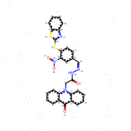 O=C(Cn1c2ccccc2c(=O)c2ccccc21)N/N=C\c1ccc(Sc2nc3ccccc3s2)c([N+](=O)[O-])c1